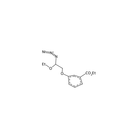 CCOC(=O)c1cccc(OCC(N=[N+]=[N-])OCC)c1